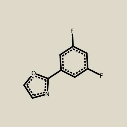 Fc1cc(F)cc(-c2ncco2)c1